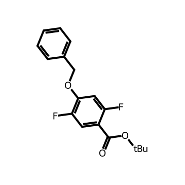 CC(C)(C)OC(=O)c1cc(F)c(OCc2ccccc2)cc1F